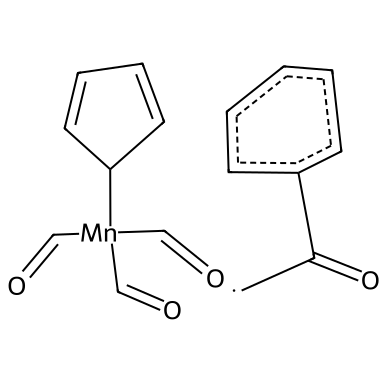 O=[CH][Mn]([CH]=O)([CH]=O)[CH]1C=CC=C1.[CH2]C(=O)c1ccccc1